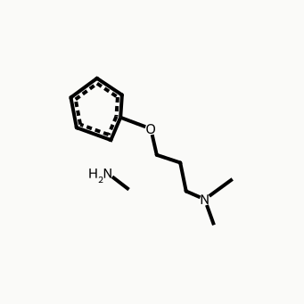 CN.CN(C)CCCOc1ccccc1